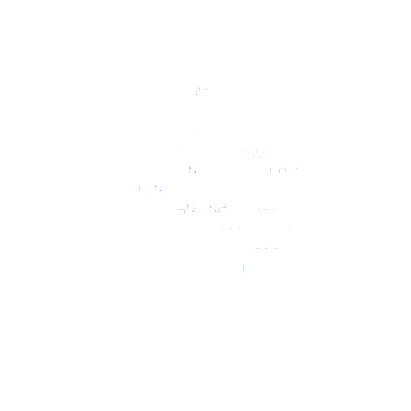 CC(C)CCON=C(N)NNCc1ccccc1Cl.O=CO